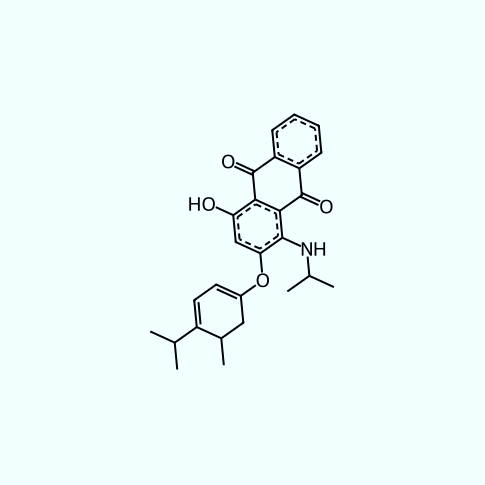 CC(C)Nc1c(OC2=CC=C(C(C)C)C(C)C2)cc(O)c2c1C(=O)c1ccccc1C2=O